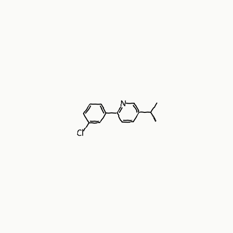 CC(C)c1ccc(-c2cccc(Cl)c2)nc1